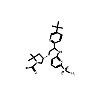 CC(C)(C)c1ccc(C(CC[C@@H]2CN(C(=O)O)C(C)(C)C2)Nc2cccc(S(N)(=O)=O)n2)nc1